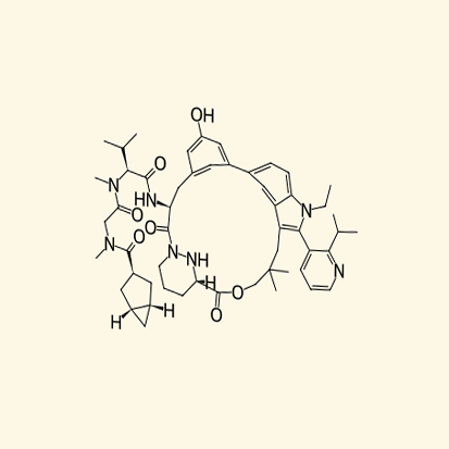 CCn1c(-c2cccnc2C(C)C)c2c3cc(ccc31)-c1cc(O)cc(c1)C[C@H](NC(=O)[C@H](C(C)C)N(C)C(=O)CN(C)C(=O)[C@H]1C[C@@H]3C[C@@H]3C1)C(=O)N1CCC[C@H](N1)C(=O)OCC(C)(C)C2